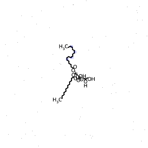 CC/C=C\C/C=C\C/C=C\C/C=C\CCCCC(=O)OC[C@H](COP(=O)(O)OC[C@@H](O)CO)OC(=O)CCCCCCCCCCCCC